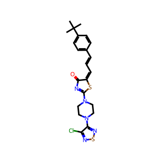 CC(C)(C)c1ccc(C=CC=C2SC(N3CCN(c4nsnc4Cl)CC3)=NC2=O)cc1